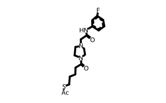 CC(=O)SCCCCC(=O)N1CCN(CC(=O)Nc2cccc(F)c2)CC1